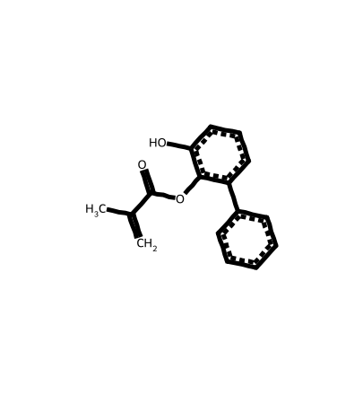 C=C(C)C(=O)Oc1c(O)cccc1-c1ccccc1